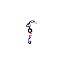 CCc1cnc(-c2ccc(OCCCN3CCC3)cc2)s1